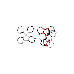 C1=CCCC(C2(c3ccccc3)c3ccccc3-c3ccc(N(c4ccccc4-c4cccc5cccc(C6CCCCC6)c45)c4cccc5c6ccccc6n(-c6ccccc6)c45)cc32)=C1